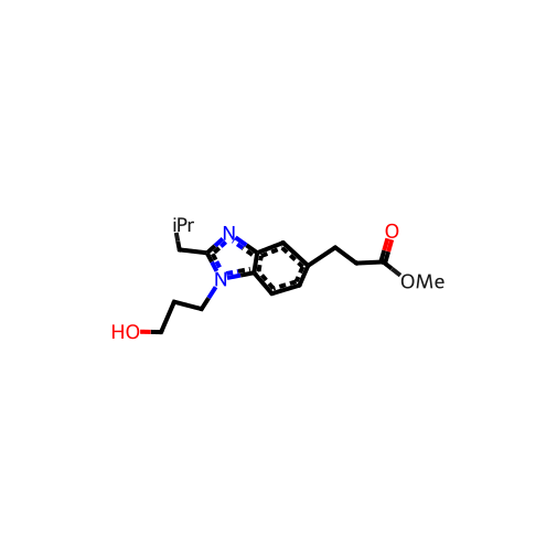 COC(=O)CCc1ccc2c(c1)nc(CC(C)C)n2CCCO